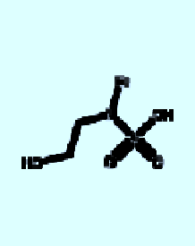 CCN(CCO)S(=O)(=O)O